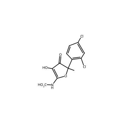 CC1(c2ccc(Cl)cc2Cl)OC(NC(=O)O)=C(O)C1=O